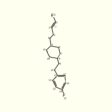 F/C=C/CCC1CCC(CCc2ccc(F)cc2)CC1